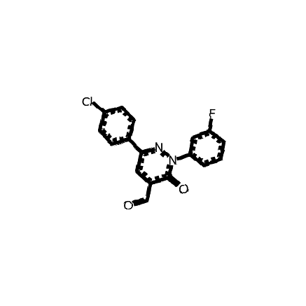 O=Cc1cc(-c2ccc(Cl)cc2)nn(-c2cccc(F)c2)c1=O